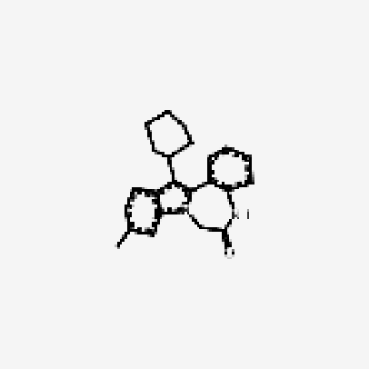 Cc1ccc2c(C3CCCCC3)c3n(c2c1)CC(=O)Nc1ccccc1-3